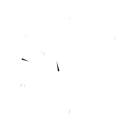 CC(=O)[C@H](CC(C)C)N1C(=O)[C@@](C)(CC(=O)O)C[C@H](c2cccc(Cl)c2)[C@H]1c1ccc(Cl)cc1